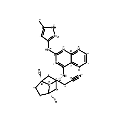 Cc1cc(Nc2nc(N[C@@H]3C[C@H]4CC[C@@H](C3)N4CCC#N)c3nccnc3n2)n[nH]1